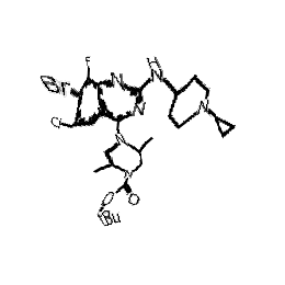 CC1CN(c2nc(NC3CCN(C4CC4)CC3)nc3c(F)c(Br)c(Cl)cc23)C(C)CN1C(=O)OC(C)(C)C